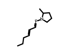 CCC/C=C/C=P/N1CCCC1C